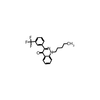 CCCCCn1nc(-c2cccc(C(F)(F)F)c2)c(=O)c2ccccc21